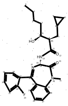 CCCC[C@H](O)[C@@H](CC1CC1)C(=O)N[C@H]1N=C(c2ccccc2F)c2ccccc2N(C)C1=O